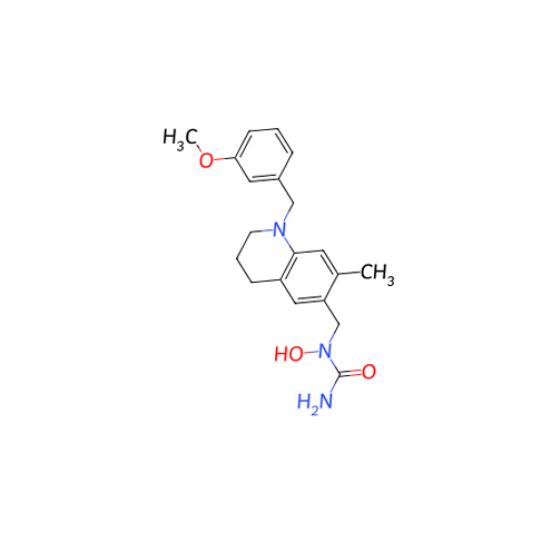 COc1cccc(CN2CCCc3cc(CN(O)C(N)=O)c(C)cc32)c1